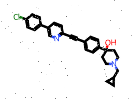 OC1(c2ccc(C#Cc3ccc(-c4ccc(Cl)cc4)cn3)cc2)CCN(CC2CC2)CC1